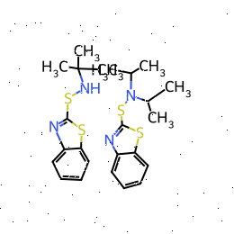 CC(C)(C)NSc1nc2ccccc2s1.CC(C)N(Sc1nc2ccccc2s1)C(C)C